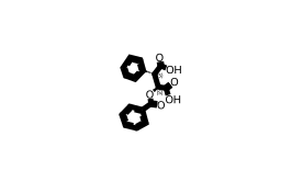 O=C(O[C@H](C(=O)O)[C@@H](C(=O)O)c1ccccc1)c1ccccc1